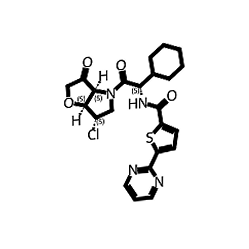 O=C(N[C@H](C(=O)N1C[C@H](Cl)[C@H]2OCC(=O)[C@H]21)C1CCCCC1)c1ccc(-c2ncccn2)s1